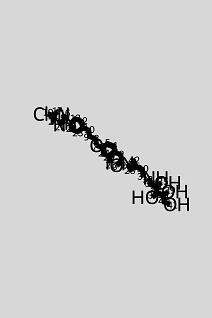 O=C(Cc1ccc(OCCCC2CCN(c3ncc(Cl)cn3)CC2)cc1F)N1CC(CCNCC(O)C(O)C(O)CO)C1